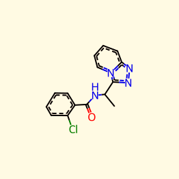 CC(NC(=O)c1ccccc1Cl)c1nnc2ccccn12